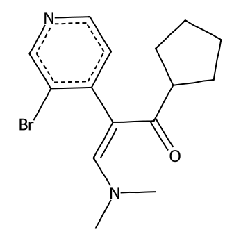 CN(C)C=C(C(=O)C1CCCC1)c1ccncc1Br